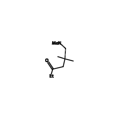 CCC(=O)CC(C)(C)CNC